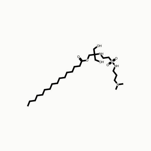 CCCCCCCCCCCCCCCC(=O)OCC(CO)(CO)NCCS(=O)(=O)NCCCN(C)C